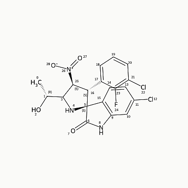 C[C@@H](O)C1N[C@@]2(C(=O)Nc3cc(Cl)ccc32)[C@@H](c2cccc(Cl)c2F)[C@@H]1[N+](=O)[O-]